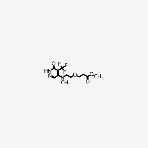 COC(=O)CCOCCN(C)c1cn[nH]c(=O)c1C(F)(F)F